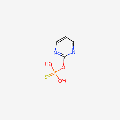 OP(O)(=S)Oc1ncccn1